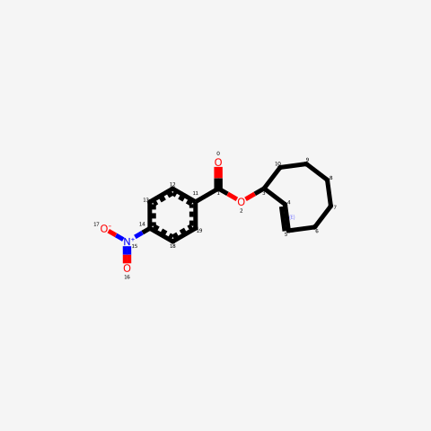 O=C(OC1/C=C/CCCCC1)c1ccc([N+](=O)[O-])cc1